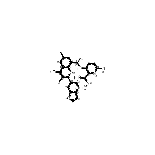 Cc1cc([C@@H](C)Oc2ccc(Cl)nc2C(N)=NO)c2oc(-c3cnc4ccoc4c3)c(C)c(=O)c2c1